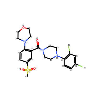 CS(=O)(=O)c1ccc(N2CCOCC2)c(C(=O)N2CCN(c3ccc(F)cc3F)CC2)c1